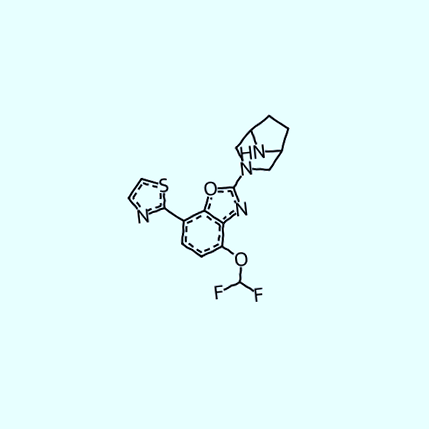 FC(F)Oc1ccc(-c2nccs2)c2oc(N3CC4CCC(C3)N4)nc12